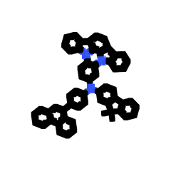 CC1(C)c2ccccc2-c2ccc(N(c3ccc(-c4cc5ccccc5c5ccccc45)cc3)c3ccc4c(c3)n3c5ccccc5c5ccc6c7ccccc7n4c6c53)cc21